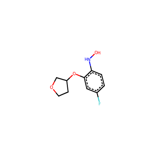 ONc1ccc(F)cc1OC1CCOC1